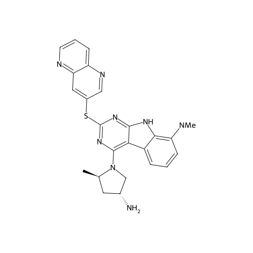 CNc1cccc2c1[nH]c1nc(Sc3cnc4cccnc4c3)nc(N3C[C@H](N)C[C@H]3C)c12